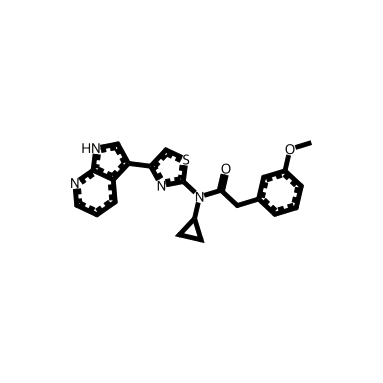 COc1cccc(CC(=O)N(c2nc(-c3c[nH]c4ncccc34)cs2)C2CC2)c1